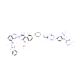 Cc1c(O[C@H]2CC[C@H](CCC(C)(C)N3CCN(c4ccc5c(C6CCC(=O)NC6=O)nn(C)c5c4)CC3)CC2)cccc1-c1ccc(N2CCc3cccc(C(=O)Nc4nc5ccccc5s4)c3C2)nc1C(=O)OC(C)(C)C